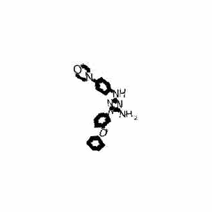 Nc1nc(Nc2ccc(N3CCOCC3)cc2)nn1-c1cccc(Oc2ccccc2)c1